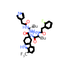 CCC(C)[C@H](NC(=O)Cc1ccccc1F)C(=O)N[C@]1(C(=O)N[C@H](NC(=O)Cc2ccncc2)[C@@H](C)CC)CCc2[nH]c3c(C(F)(F)F)cccc3c2C1